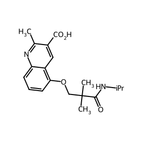 Cc1nc2cccc(OCC(C)(C)C(=O)NC(C)C)c2cc1C(=O)O